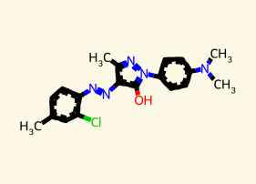 Cc1ccc(N=Nc2c(C)nn(-c3ccc(N(C)C)cc3)c2O)c(Cl)c1